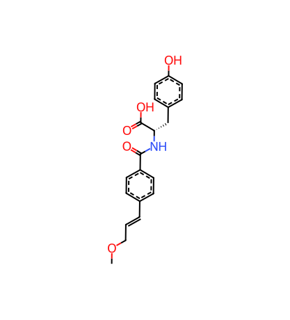 COC/C=C/c1ccc(C(=O)N[C@@H](Cc2ccc(O)cc2)C(=O)O)cc1